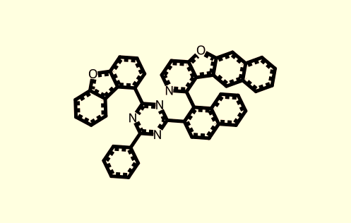 c1ccc(-c2nc(-c3ccc4ccccc4c3-c3nccc4oc5cc6ccccc6cc5c34)nc(-c3cccc4oc5ccccc5c34)n2)cc1